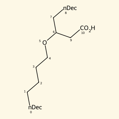 CCCCCCCCCCCCCCOC(CCCCCCCCCCC)CC(=O)O